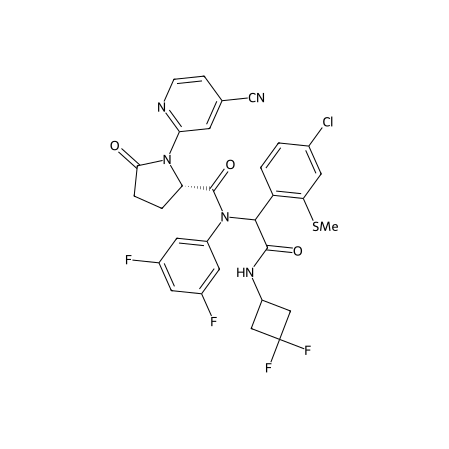 CSc1cc(Cl)ccc1C(C(=O)NC1CC(F)(F)C1)N(C(=O)[C@@H]1CCC(=O)N1c1cc(C#N)ccn1)c1cc(F)cc(F)c1